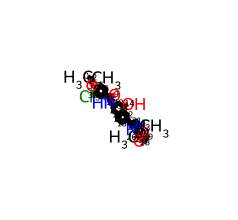 CC(C)Oc1ccc(C(=O)NC(CCO)Cc2ccc(-c3cn(C)c(C4(C)OCCO4)n3)cc2)cc1Cl